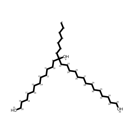 CCCCCCCC(O)(CCCCCCCCCCCCO)CCCCCCCCCCCCCCO